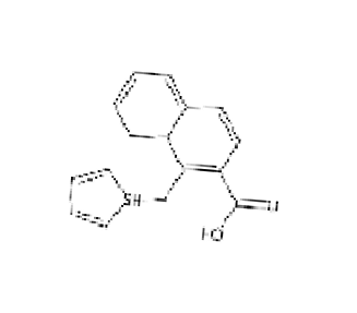 O=C(O)c1ccc2ccccc2c1C[SH]1C=CC=C1